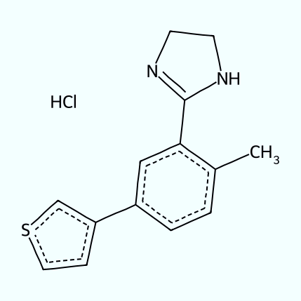 Cc1ccc(-c2ccsc2)cc1C1=NCCN1.Cl